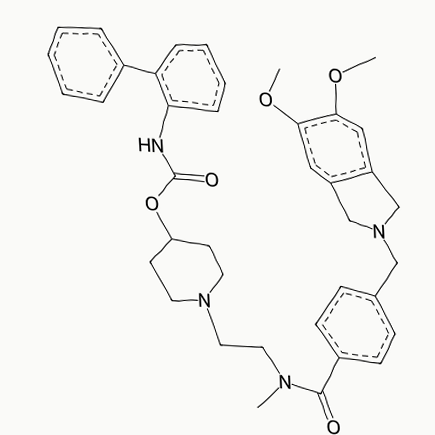 COc1cc2c(cc1OC)CN(Cc1ccc(C(=O)N(C)CCN3CCC(OC(=O)Nc4ccccc4-c4ccccc4)CC3)cc1)C2